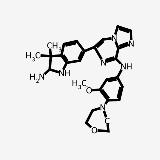 COc1cc(Nc2nc(-c3ccc4c(c3)NC(N)C4(C)C)cn3ccnc23)ccc1N1CCOCC1